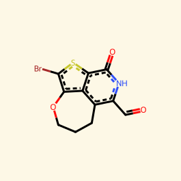 O=Cc1[nH]c(=O)c2sc(Br)c3c2c1CCCO3